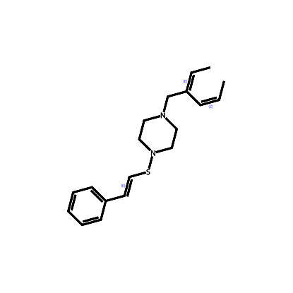 C/C=C\C(=C/C)CN1CCN(S/C=C/c2ccccc2)CC1